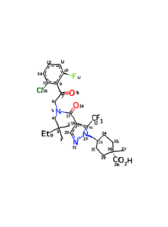 CCC(C)(C)CN(CC(=O)c1c(F)cccc1Cl)C(=O)c1cnn([C@H]2CC[C@](C)(C(=O)O)CC2)c1C(F)(F)F